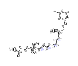 Cc1cccc(OCC[C@H](O)/C=C/C=C\C=C\C=C\[C@@H](O)[C@@H](O)CCCC(=O)O)c1